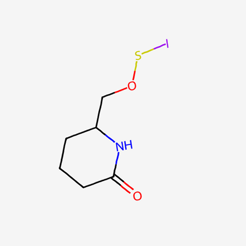 O=C1CCCC(COSI)N1